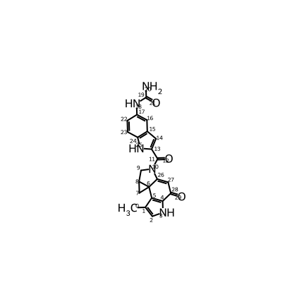 Cc1c[nH]c2c1C13CC1CN(C(=O)c1cc4cc(NC(N)=O)ccc4[nH]1)C3=CC2=O